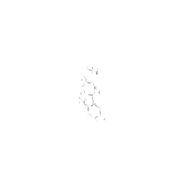 C1=NCc2nc3c(cc2=C1)N=c1ccccc1=3